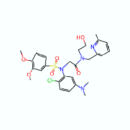 COc1ccc(S(=O)(=O)N(CC(=O)N(CCO)Cc2cccc(C)n2)c2cc(N(C)C)ccc2Cl)cc1OC